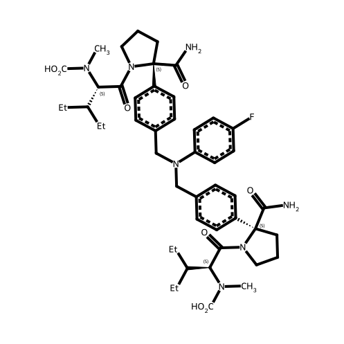 CCC(CC)[C@@H](C(=O)N1CCC[C@@]1(C(N)=O)c1ccc(CN(Cc2ccc([C@]3(C(N)=O)CCCN3C(=O)[C@H](C(CC)CC)N(C)C(=O)O)cc2)c2ccc(F)cc2)cc1)N(C)C(=O)O